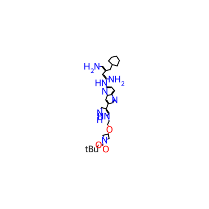 CC(C)(C)OC(=O)N1CC(OCCN/C=C(\C=N)c2cnc3ccc(N/C(N)=C/C(=C\N)CC4CCCCC4)nc3c2)C1